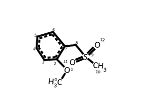 COc1ccccc1CS(C)(=O)=O